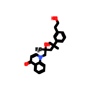 CC(C)(CC(O)(Cn1ccc(=O)c2ccccc21)C(F)(F)F)c1cccc(CCO)c1